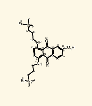 CC[N+](C)(C)CCCNc1ccc(NCCC[N+](C)(C)CC)c2c1C(=O)c1ccc(C(=O)O)cc1C2=O